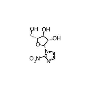 O=[N+]([O-])c1nccn1[C@@H]1O[C@H](CO)[C@@H](O)[C@@H]1O